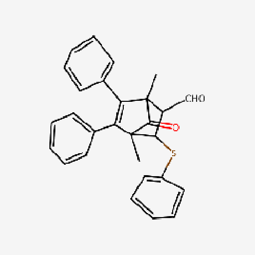 CC12C(=O)C(C)(C(c3ccccc3)=C1c1ccccc1)C(Sc1ccccc1)C2C=O